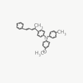 COc1ccc(N(c2ccc(C)cc2)c2ccc(C(C)=CC=Cc3ccccc3)cc2)cc1